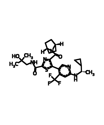 C[C@H](Nc1cc(C(F)(F)F)c(-c2sc(C(=O)NCC(C)(C)O)nc2C(=O)N2[C@H]3CC[C@@H]2CC3)cn1)C1CC1